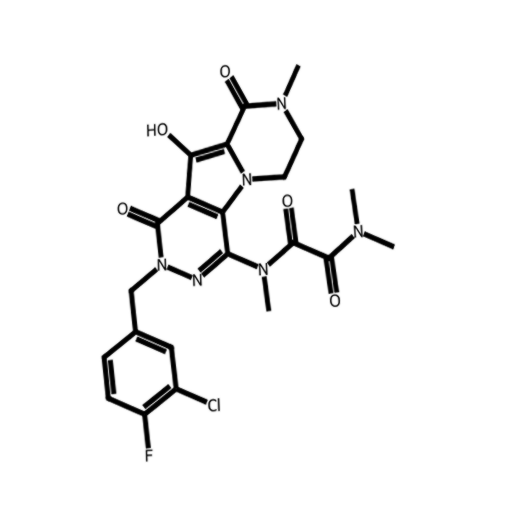 CN(C)C(=O)C(=O)N(C)c1nn(Cc2ccc(F)c(Cl)c2)c(=O)c2c(O)c3n(c12)CCN(C)C3=O